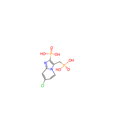 O=P(O)(O)Cc1c(P(=O)(O)O)nc2cc(Cl)ccn12